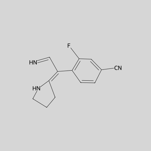 N#Cc1ccc(/C(C=N)=C2\CCCN2)c(F)c1